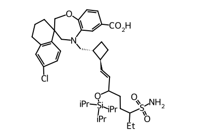 CCC(CCC(/C=C/[C@@H]1CC[C@H]1CN1CC2(CCCc3cc(Cl)ccc32)COc2ccc(C(=O)O)cc21)O[Si](C(C)C)(C(C)C)C(C)C)S(N)(=O)=O